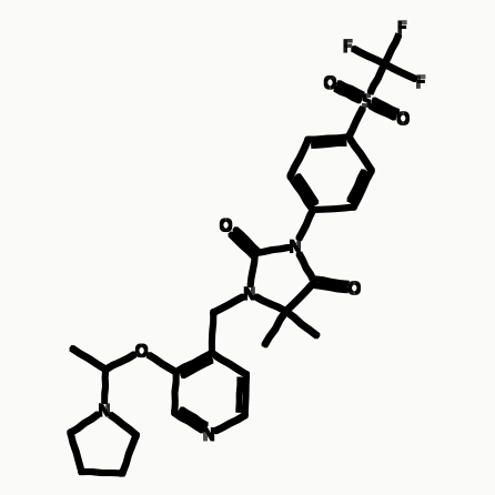 CC(Oc1cnccc1CN1C(=O)N(c2ccc(S(=O)(=O)C(F)(F)F)cc2)C(=O)C1(C)C)N1CCCC1